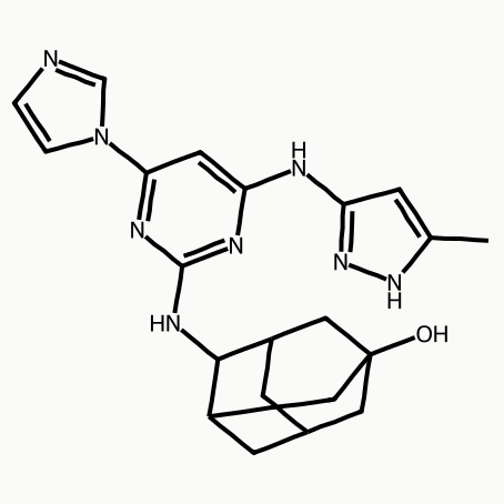 Cc1cc(Nc2cc(-n3ccnc3)nc(NC3C4CC5CC3CC(O)(C5)C4)n2)n[nH]1